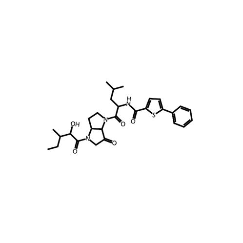 CCC(C)C(O)C(=O)N1CC(=O)C2C1CCN2C(=O)C(CC(C)C)NC(=O)c1ccc(-c2ccccc2)s1